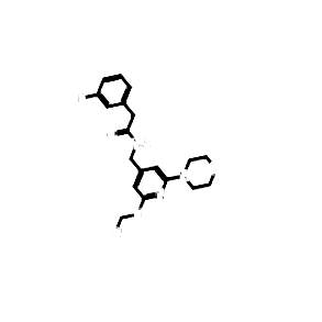 O=C(Cc1cccc(F)c1)NCc1cc(OCC(F)(F)F)nc(N2CCOCC2)c1